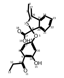 CCCSC(Oc1ccc(C(=O)CC)c(O)c1)(C(=O)O)c1ccccc1CC